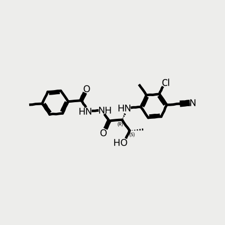 Cc1ccc(C(=O)NNC(=O)[C@H](Nc2ccc(C#N)c(Cl)c2C)[C@H](C)O)cc1